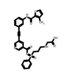 Cc1ccoc1C(=O)Nc1cccc(C#Cc2cncc(C(=O)N=S(=O)(CCCNCC(=O)O)c3ccccc3)c2)c1